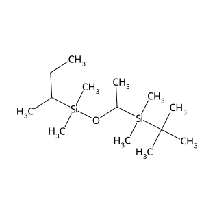 CCC(C)[Si](C)(C)OC(C)[Si](C)(C)C(C)(C)C